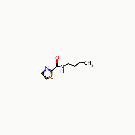 CCCCNC(=O)c1nccs1